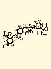 CNC(=O)[C@H]1CN(C2=NC(=O)C(=Cc3ccc4c(cnn4Cc4ccc(Cl)cc4C(F)(F)F)c3)S2)CCN1